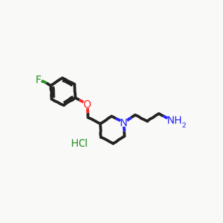 Cl.NCCCN1CCCC(COc2ccc(F)cc2)C1